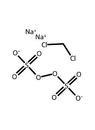 ClCCl.O=S(=O)([O-])OOS(=O)(=O)[O-].[Na+].[Na+]